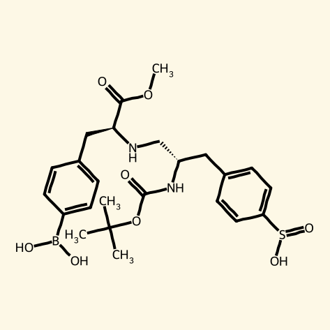 COC(=O)[C@H](Cc1ccc(B(O)O)cc1)NC[C@H](Cc1ccc(S(=O)O)cc1)NC(=O)OC(C)(C)C